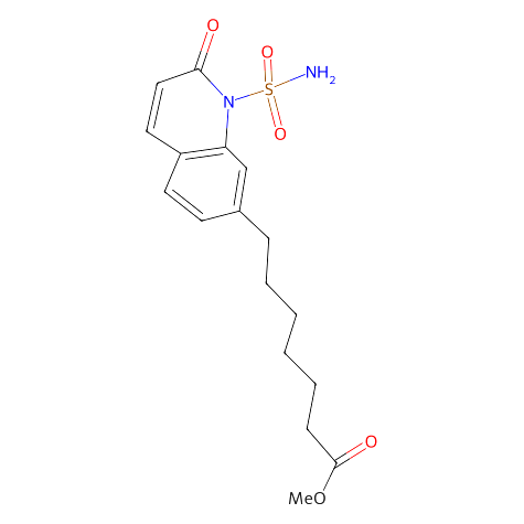 COC(=O)CCCCCCc1ccc2ccc(=O)n(S(N)(=O)=O)c2c1